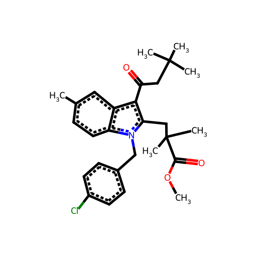 COC(=O)C(C)(C)Cc1c(C(=O)CC(C)(C)C)c2cc(C)ccc2n1Cc1ccc(Cl)cc1